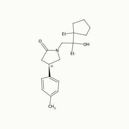 CCC(O)(CN1C[C@@H](c2ccc(C)cc2)CC1=O)C1(CC)CCCC1